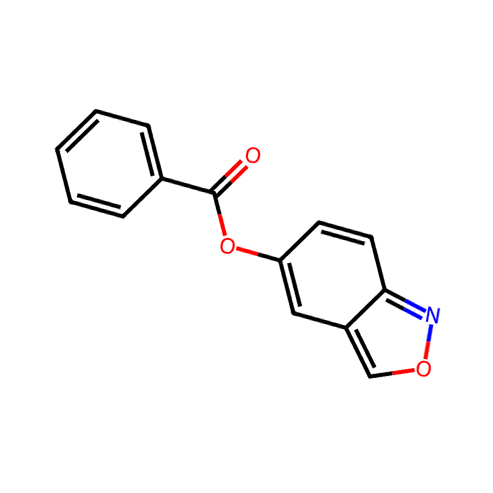 O=C(Oc1ccc2nocc2c1)c1ccccc1